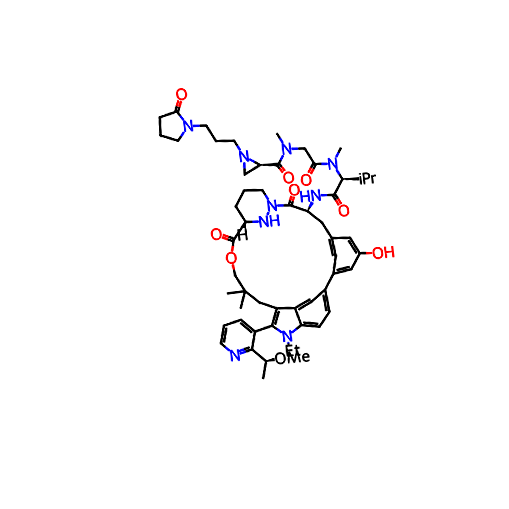 CCn1c(-c2cccnc2[C@H](C)OC)c2c3cc(ccc31)-c1cc(O)cc(c1)C[C@H](NC(=O)[C@H](C(C)C)N(C)C(=O)CN(C)C(=O)[C@H]1CN1CCCN1CCCC1=O)C(=O)N1CCC[C@H](N1)C(=O)OCC(C)(C)C2